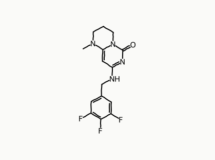 CN1CCCn2c1cc(NCc1cc(F)c(F)c(F)c1)nc2=O